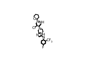 Fc1ccc(Nc2cnc3n2CCN(C2=CNN(C4CCCCO4)C=C2Cl)C3)c(C(F)(F)F)c1